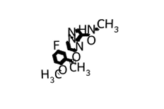 CCNC(=O)c1cnn2ccc(O[C@H](C)c3cc(F)ccc3OC)nc12